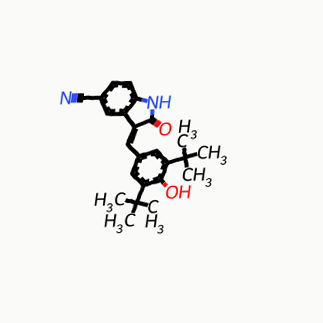 CC(C)(C)c1cc(C=C2C(=O)Nc3ccc(C#N)cc32)cc(C(C)(C)C)c1O